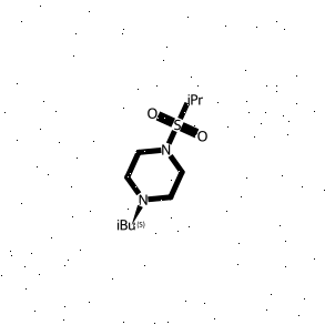 CC[C@H](C)N1CCN(S(=O)(=O)C(C)C)CC1